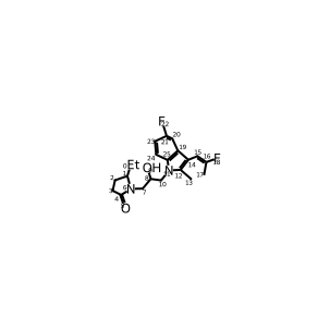 CCC1CCC(=O)N1CC(O)Cn1c(C)c(/C=C(\C)F)c2cc(F)ccc21